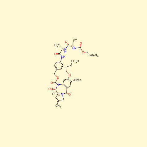 C=CCOC(=O)N[C@H](C(=O)N[C@@H](C)C(=O)Nc1ccc(COC(=O)N2c3cc(OCCCC(=O)O)c(OC)cc3C(=O)N3CC(=C)C[C@H]3C2O)cc1)C(C)C